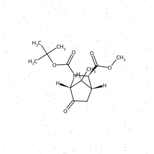 COC(=O)[C@H]1[C@@H]2CC(=O)[C@@H]([C@H]2C)N1C(=O)OC(C)(C)C